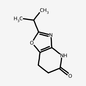 CC(C)c1nc2c(o1)CCC(=O)N2